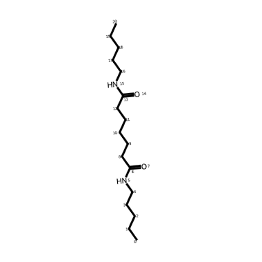 CCCCCNC(=O)CCCCCC(=O)NCCCCC